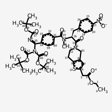 CCOC(=O)Cc1cc2c(s1)CCN(C(=O)[C@H](Cc1ccc([N+](=O)[O-])cc1)N(C)C(=O)c1ccc(C(=NC(=O)OC(C)(C)C)N(C(=O)OC(C)(C)C)C(=O)OC(C)(C)C)cc1)C2